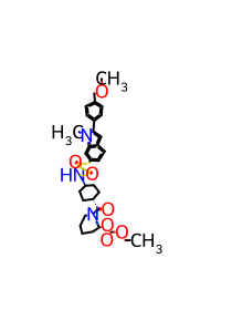 CCOC(=O)OC1CCCCN1C(=O)[C@H]1CC[C@H](NS(=O)(=O)c2ccc3cc(-c4ccc(COC)cc4)n(C)c3c2)CC1